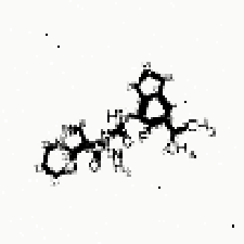 CC(C)c1cc2c(c(NC(=O)N=[S@@](N)(=O)c3cnn4c3OCCC4)c1F)CCC2